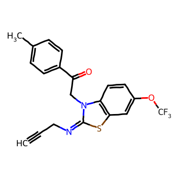 C#CCN=c1sc2cc(OC(F)(F)F)ccc2n1CC(=O)c1ccc(C)cc1